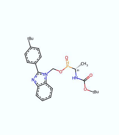 C[C@H](NC(=O)OC(C)(C)C)[PH](=O)OCn1c(-c2ccc(C(C)(C)C)cc2)nc2ccccc21